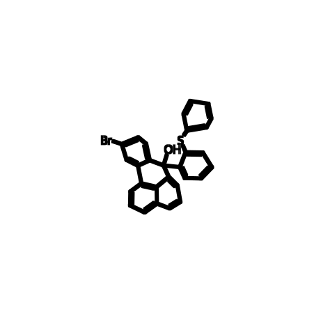 OC1(c2ccccc2Sc2ccccc2)c2ccc(Br)cc2-c2cccc3cccc1c23